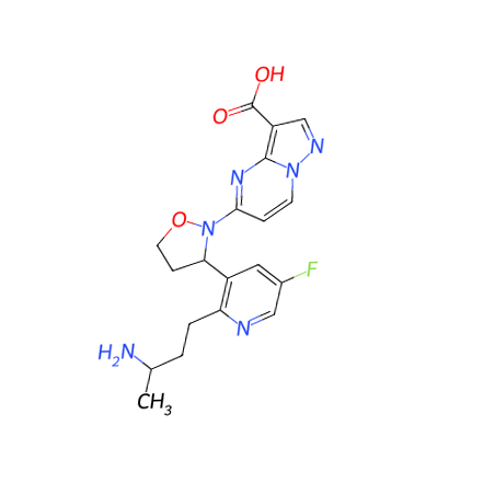 CC(N)CCc1ncc(F)cc1C1CCON1c1ccn2ncc(C(=O)O)c2n1